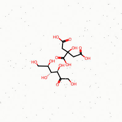 O=C(CO)[C@H](O)[C@H](O)[C@H](O)CO.O=C(O)CC(O)(CC(=O)O)C(=O)O